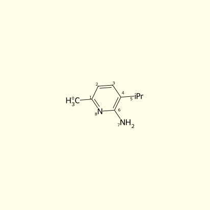 Cc1ccc(C(C)C)c(N)n1